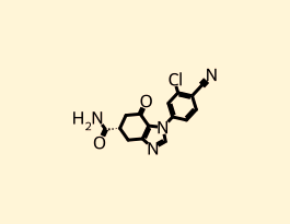 N#Cc1ccc(-n2cnc3c2C(=O)C[C@@H](C(N)=O)C3)cc1Cl